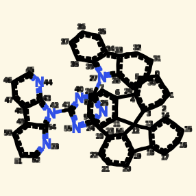 c1ccc2c(c1)-c1ccccc1C21c2ccccc2-c2cccc(-c3nc(-n4c5ccccc5c5ccccc54)nc(-n4c5ncccc5c5cccnc54)n3)c21